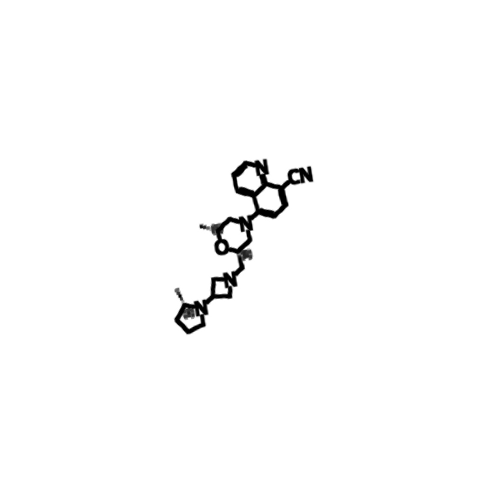 C[C@@H]1CN(c2ccc(C#N)c3ncccc23)C[C@@H](CN2CC(N3CCC[C@@H]3C)C2)O1